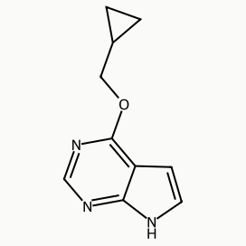 c1nc(OCC2CC2)c2cc[nH]c2n1